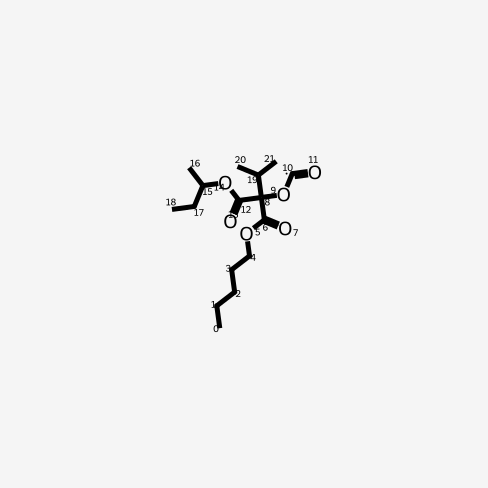 CCCCCOC(=O)C(O[C]=O)(C(=O)OC(C)CC)C(C)C